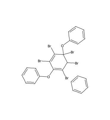 BrC1=C(Br)C(Br)(Oc2ccccc2)C(Br)C(Br)=C1Oc1ccccc1.c1ccccc1